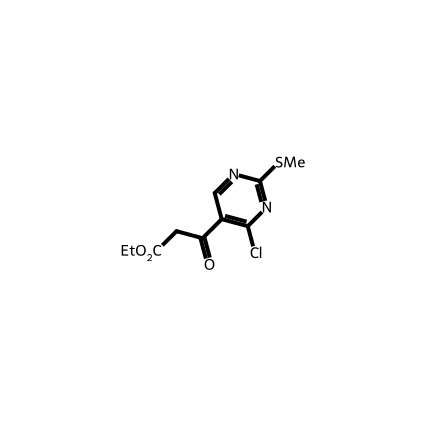 CCOC(=O)CC(=O)c1cnc(SC)nc1Cl